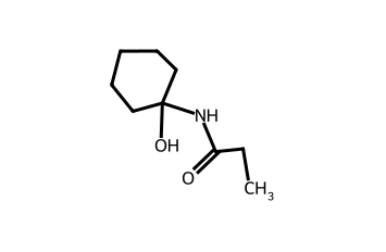 CCC(=O)NC1(O)CCCCC1